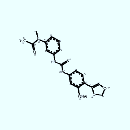 COc1cc(NC(=S)Nc2cccc(N(C)C(=O)C(F)(F)F)c2)ccc1C1=COCO1